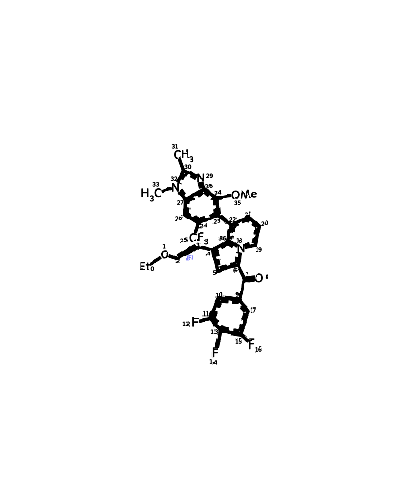 CCO/C=C/c1cc(C(=O)c2cc(F)c(F)c(F)c2)n2cccc(-c3c(C(F)(F)F)cc4c(nc(C)n4C)c3OC)c12